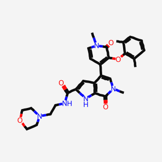 Cc1cccc(C)c1Oc1c(-c2cn(C)c(=O)c3[nH]c(C(=O)NCCN4CCOCC4)cc23)ccn(C)c1=O